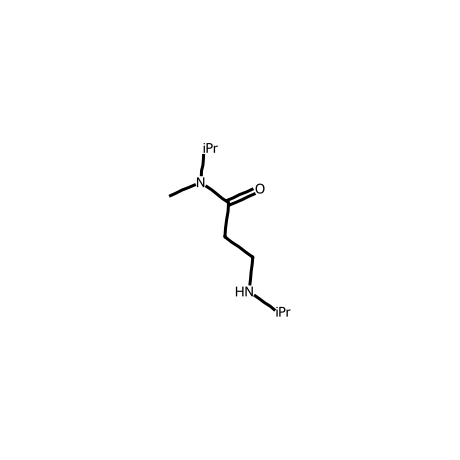 CC(C)NCCC(=O)N(C)C(C)C